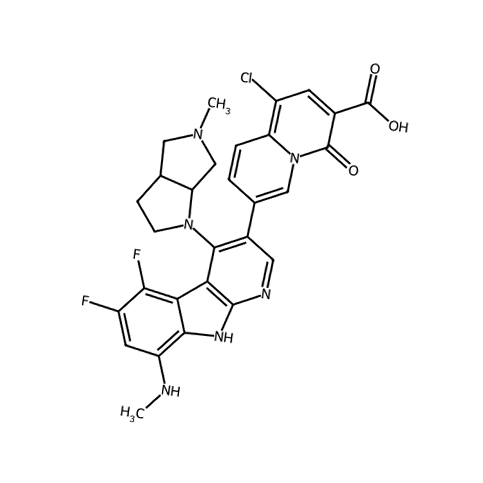 CNc1cc(F)c(F)c2c1[nH]c1ncc(-c3ccc4c(Cl)cc(C(=O)O)c(=O)n4c3)c(N3CCC4CN(C)CC43)c12